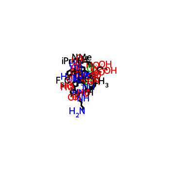 CN[C@@H](CC(C)C)C(=O)N[C@H]1C(=O)N[C@@H](CC(N)=O)C(=O)NC2C(=O)N[C@@H]3C(=O)N[C@@H](C(=O)N[C@@H](C(=O)NCCCCN)c4cc(O)cc(O)c4-c4cc3ccc4O)[C@H](O)c3ccc(c(Cl)c3)Oc3cc2cc(c3OC2O[C@@H](CO)[C@@H](O)[C@@H](O)[C@H]2O[C@H]2CC(C)(NCc3cccc(NC(=O)c4cccc(OC(F)(F)F)c4)c3)[C@@H](O)C(C)O2)Oc2ccc(cc2Cl)[C@H]1O